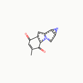 CC1=CC(=O)c2cc3c4nc4cn3c2C1=O